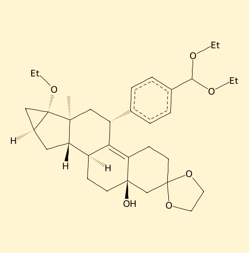 CCOC(OCC)c1ccc([C@H]2C[C@@]3(C)[C@@H](C[C@H]4C[C@]43OCC)[C@@H]3CC[C@@]4(O)CC5(CCC4=C32)OCCO5)cc1